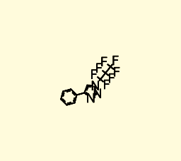 FC(F)(F)C(F)(F)C(F)(F)n1cc(-c2ccccc2)nn1